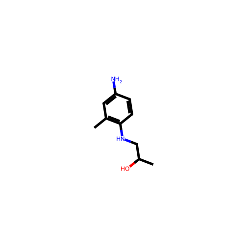 Cc1cc(N)ccc1NCC(C)O